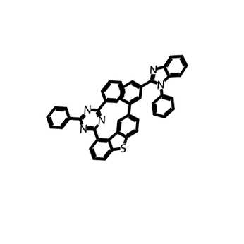 c1ccc(-c2nc(-c3ccccc3)nc(-c3cccc4sc5ccc(-c6cccc(-c7nc8ccccc8n7-c7ccccc7)c6)cc5c34)n2)cc1